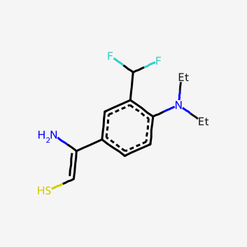 CCN(CC)c1ccc(/C(N)=C/S)cc1C(F)F